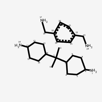 CC(C)(C1CCC(N)CC1)C1CCC(N)CC1.NCc1ccc(CN)cc1